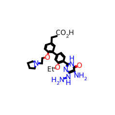 CCOc1cc(-c2cc(CCC(=O)O)ccc2OCCN2CCCC2)ccc1-c1nc(NN)c(N)c(=O)[nH]1